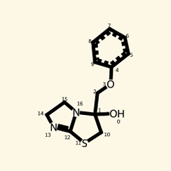 OC1(COc2ccccc2)CSC2=NCCN21